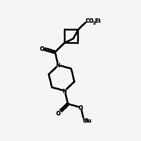 CCOC(=O)C12CC(C(=O)N3CCN(C(=O)OC(C)(C)C)CC3)(C1)C2